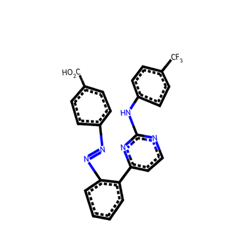 O=C(O)c1ccc(/N=N/c2ccccc2-c2ccnc(Nc3ccc(C(F)(F)F)cc3)n2)cc1